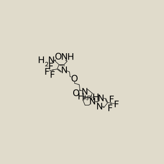 N=Cc1c(C(N)=O)c(C(F)(F)F)cn1CCOCCC(=O)N1CC[C@@H]2[C@H]1CCCN2c1ncc(C(F)(F)F)cn1